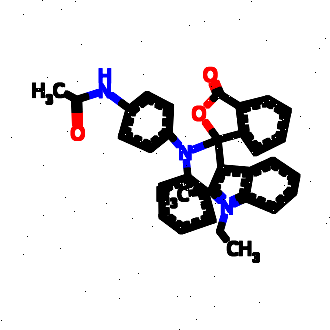 CCn1c(C)c(C2(N(c3ccccc3)c3ccc(NC(C)=O)cc3)OC(=O)c3ccccc32)c2ccccc21